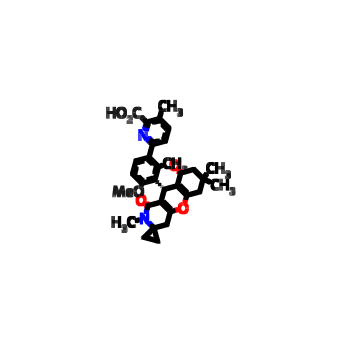 COc1ccc(-c2ccc(C)c(C(=O)O)n2)c(C)c1[C@@H]1C2=C(CC(C)(C)CC2=O)OC2=C1C(=O)N(C)C1(CC1)C2